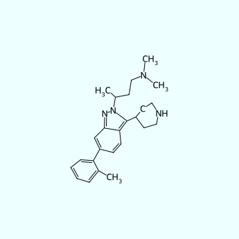 Cc1ccccc1-c1ccc2c(C3CCNCC3)n(C(C)CCN(C)C)nc2c1